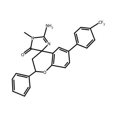 CN1C(=O)C2(CC(c3ccccc3)Oc3ccc(-c4ccc(C(F)(F)F)cc4)cc32)N=C1N